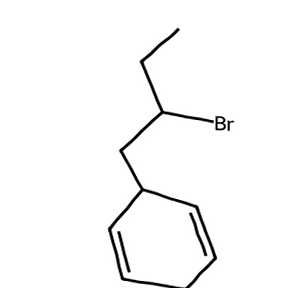 CCC(Br)CC1C=CCC=C1